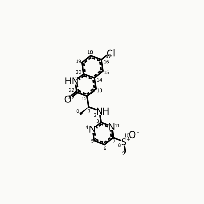 C[C@H](Nc1nccc([S+](C)[O-])n1)c1cc2cc(Cl)ccc2[nH]c1=O